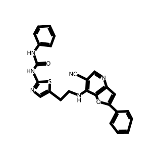 N#Cc1cnc2cc(-c3ccccc3)oc2c1NCCc1cnc(NC(=O)Nc2ccccc2)s1